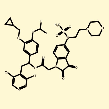 CS(=O)(=O)N(CCN1CCOCC1)c1ccc2c(c1)C(=O)C(=O)N2CC(=O)OC(Cc1c(Cl)cncc1Cl)c1ccc(OC(F)F)c(OCC2CC2)c1